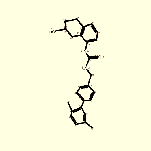 Cc1ccc(C)c(-c2ccc(CNC(=O)Nc3cccc4c3CC(O)CC4)cc2)c1